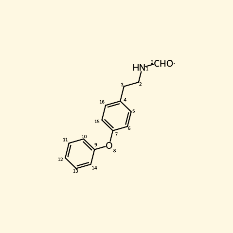 O=[C]NCCc1ccc(Oc2ccccc2)cc1